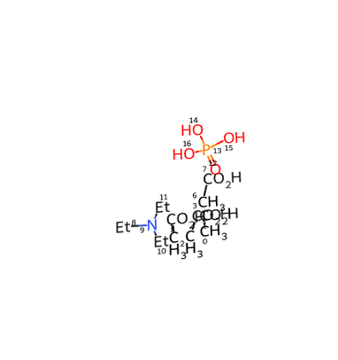 CC(=O)O.CC(=O)O.CC(=O)O.CC(=O)O.CCN(CC)CC.O=P(O)(O)O